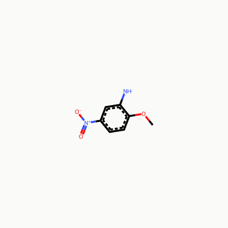 COc1ccc([N+](=O)[O-])cc1[NH]